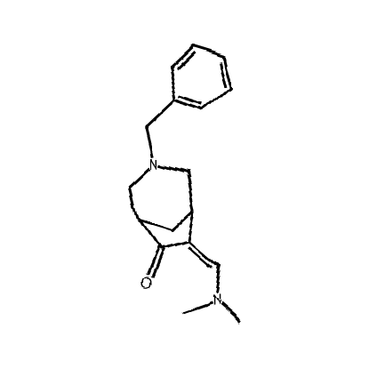 CN(C)/C=C1\C(=O)C2CC1CN(Cc1ccccc1)C2